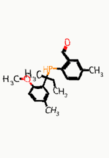 CCC(C)(Pc1ccc(C)cc1C=O)c1cc(C)ccc1OC